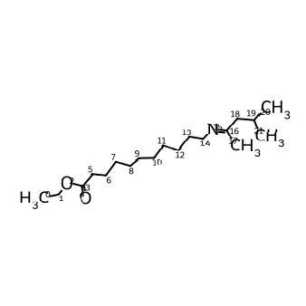 CCOC(=O)CCCCCCCCCC/N=C(\C)CC(C)C